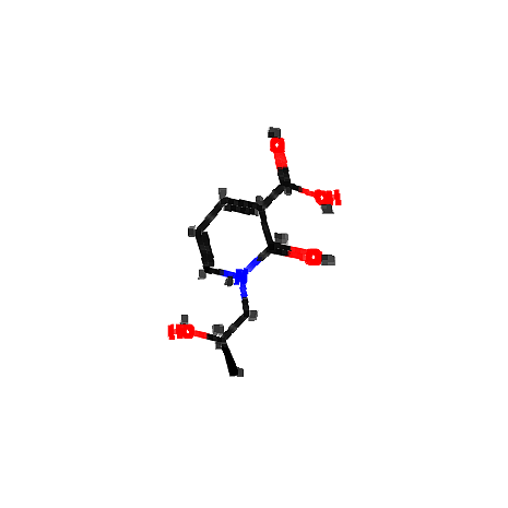 C[C@@H](O)Cn1cccc(C(=O)O)c1=O